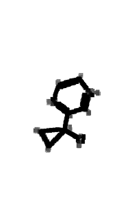 ClC1(c2cnccn2)CC1